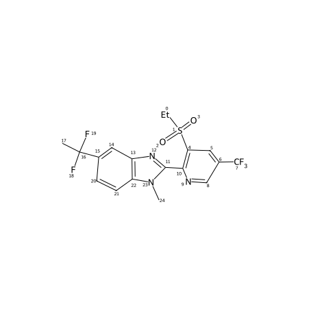 CCS(=O)(=O)c1cc(C(F)(F)F)cnc1-c1nc2cc(C(C)(F)F)ccc2n1C